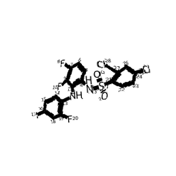 O=S(=O)(Nc1ccc(F)c(F)c1Nc1ccc(I)cc1F)c1ccc(Cl)cc1Cl